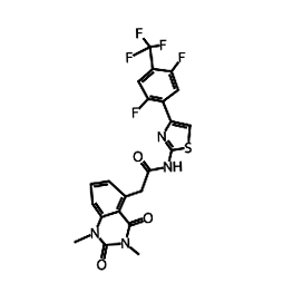 Cn1c(=O)c2c(CC(=O)Nc3nc(-c4cc(F)c(C(F)(F)F)cc4F)cs3)cccc2n(C)c1=O